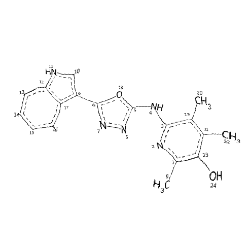 Cc1nc(Nc2nnc(-c3c[nH]c4ccccc34)o2)c(C)c(C)c1O